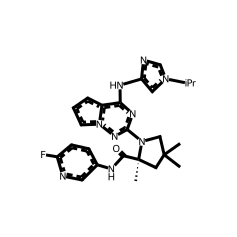 CC(C)n1cnc(Nc2nc(N3CC(C)(C)C[C@@]3(C)C(=O)Nc3ccc(F)nc3)nn3cccc23)c1